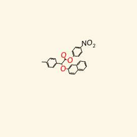 Cc1ccc(C(Oc2ccc3ccccc3c2)C(=O)Oc2ccc([N+](=O)[O-])cc2)cc1